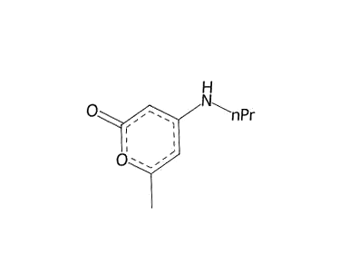 CCCNc1cc(C)oc(=O)c1